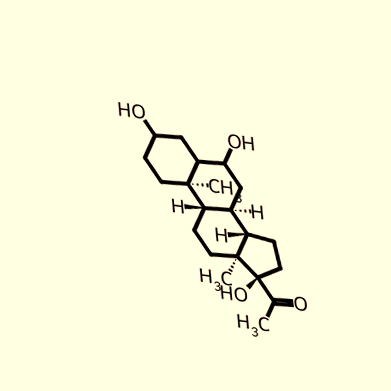 CC(=O)[C@@]1(O)CC[C@H]2[C@@H]3CC(O)C4CC(O)CC[C@]4(C)[C@H]3CC[C@@]21C